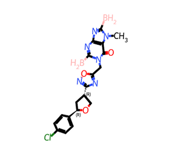 Bc1nc2nc(B)n(C)c2c(=O)n1Cc1nc([C@@H]2CO[C@@H](c3ccc(Cl)cc3)C2)no1